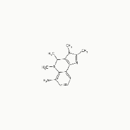 Cc1nc2c(n1C)C(C)N(C)c1c(N)cccc1-2